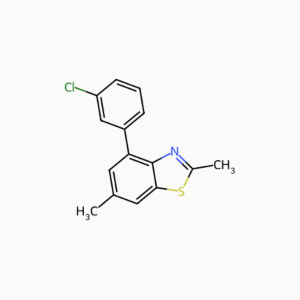 Cc1cc(-c2cccc(Cl)c2)c2nc(C)sc2c1